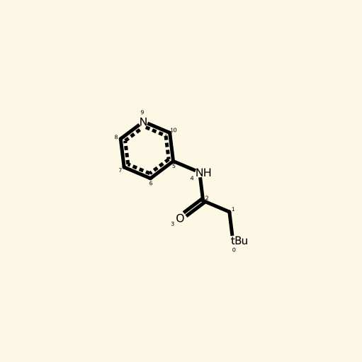 [CH2]C(C)(C)CC(=O)Nc1cccnc1